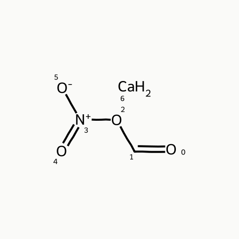 O=CO[N+](=O)[O-].[CaH2]